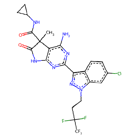 CC1(C(=O)NC2CC2)C(=O)Nc2nc(-c3nn(CCC(F)(F)C(F)(F)F)c4cc(Cl)ccc34)nc(N)c21